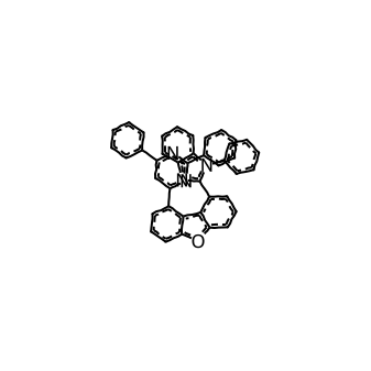 c1ccc(-c2cc(-c3cccc4oc5cccc(-c6nc7ccccc7n6-c6ccccc6)c5c34)nc(-c3ccccc3)n2)cc1